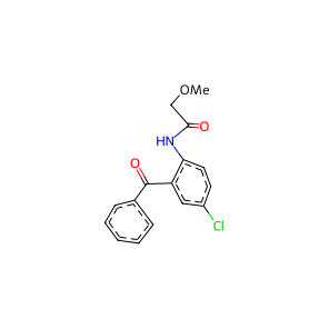 COCC(=O)Nc1ccc(Cl)cc1C(=O)c1ccccc1